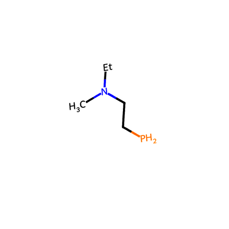 CCN(C)CCP